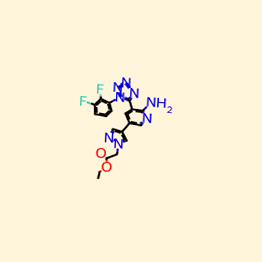 CCOC(=O)Cn1cc(-c2cnc(N)c(-c3nnnn3-c3cccc(F)c3F)c2)cn1